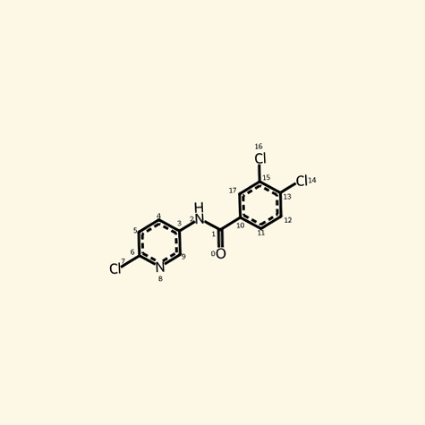 O=C(Nc1ccc(Cl)nc1)c1ccc(Cl)c(Cl)c1